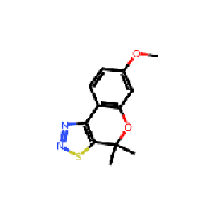 COc1ccc2c(c1)OC(C)(C)c1snnc1-2